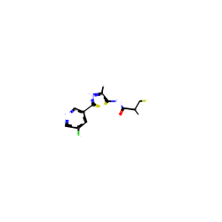 Cc1nc(-c2cncc(Cl)c2)sc1NC(=O)C(C)CS